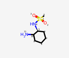 CS(=O)(=O)N[C@H]1CCCCC1N